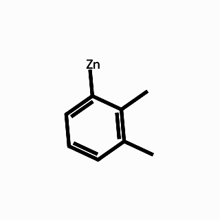 Cc1ccc[c]([Zn])c1C